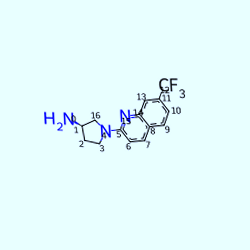 N[C@@H]1CCN(c2ccc3ccc(C(F)(F)F)cc3n2)C1